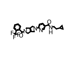 O=C(NCCC1CC1)c1ccc(N2CC3=C(CN(C(=O)c4ccccc4C(F)(F)F)C3)C2)nc1